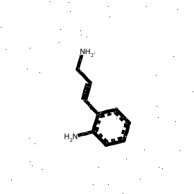 NCC=Cc1ccccc1N